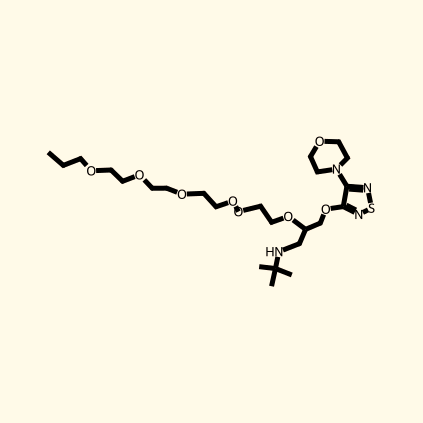 CCCOCCOCCOCCOOCCOC(CNC(C)(C)C)COc1nsnc1N1CCOCC1